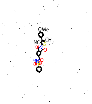 COc1ccc(-c2c(C)sc(N3C(=O)c4ccc(C(=O)NS(=O)(=O)c5ccccc5)cc4C3=O)c2C#N)cc1